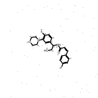 O=C(/C=C\c1ccc(F)cc1)NC(CO)c1ccc(F)c(N2CCOCC2)c1